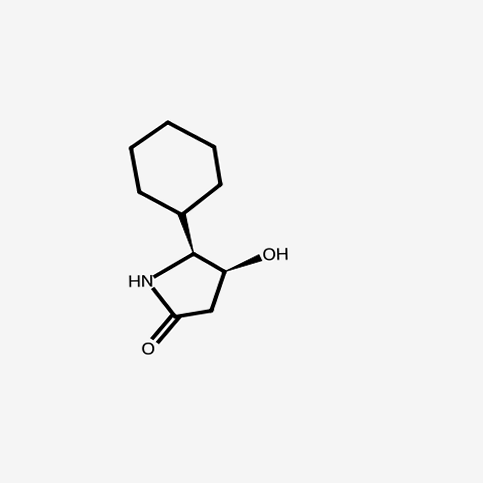 O=C1C[C@H](O)[C@H](C2CCCCC2)N1